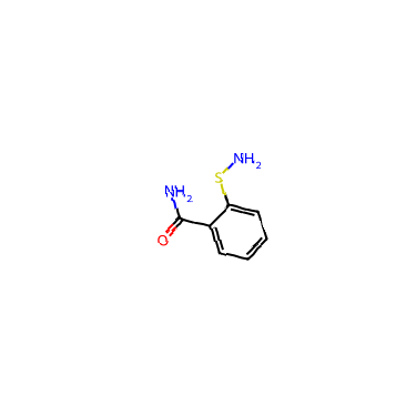 NSc1ccccc1C(N)=O